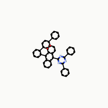 c1ccc(-c2ccc(-c3ccccc3-c3c4ccccc4c(-c4nc(-c5ccccc5)nc(-c5ccccc5)n4)c4ccccc34)cc2)cc1